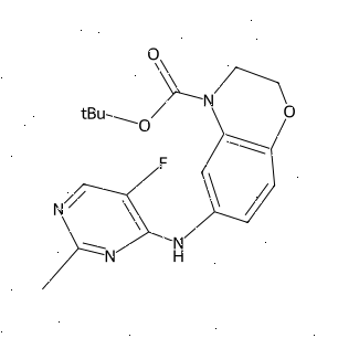 Cc1ncc(F)c(Nc2ccc3c(c2)N(C(=O)OC(C)(C)C)CCO3)n1